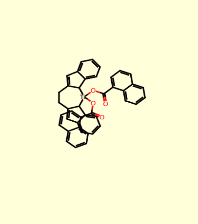 O=C([O][Ti]1([O]C(=O)c2cccc3ccccc23)[CH]2C(=Cc3ccccc32)CCC2=Cc3ccccc3[CH]21)c1cccc2ccccc12